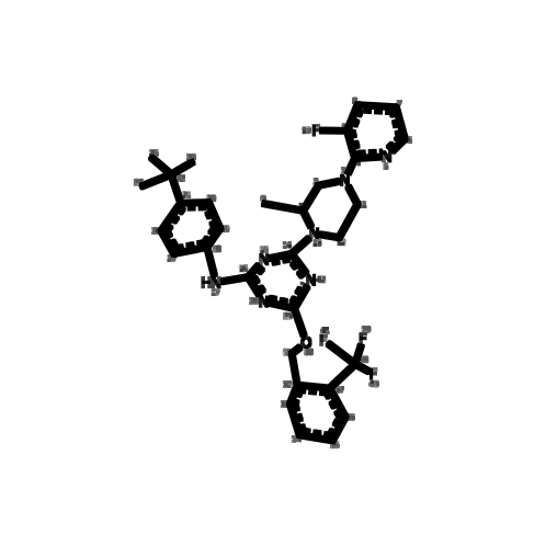 CC1CN(c2ncccc2F)CCN1c1nc(Nc2ccc(C(C)(C)C)cc2)nc(OCc2ccccc2C(F)(F)F)n1